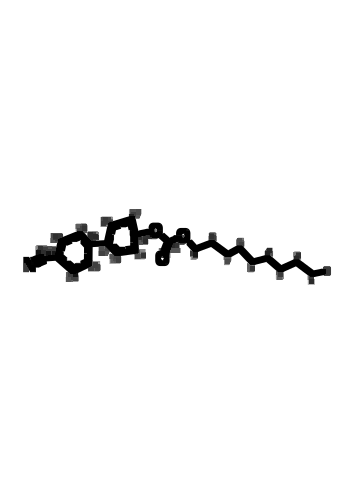 CCCCCCCCCCOC(=O)Oc1ccc(-c2ccc(C#N)cc2)cc1